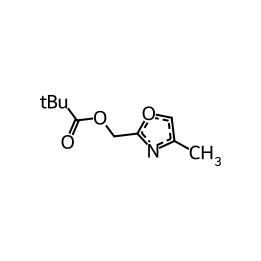 Cc1coc(COC(=O)C(C)(C)C)n1